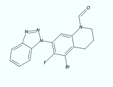 O=CN1CCCc2c1cc(-n1nnc3ccccc31)c(F)c2Br